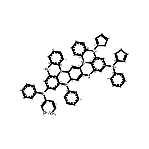 C/C=C\C(=C/C)N(c1ccccc1)c1cc2c3c(c1)N(c1ccccc1)C1C=C4Sc5cc(N(C6=CCC=C6)c6ccccc6)cc6c5B(C4=CC1B3c1ccccc1N2)c1ccccc1N6C1=CC=CC1